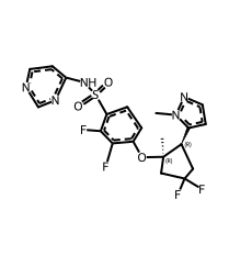 Cn1nccc1[C@H]1CC(F)(F)C[C@@]1(C)Oc1ccc(S(=O)(=O)Nc2ccncn2)c(F)c1F